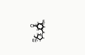 CC[C@]1(C)CCN(Cc2cc(F)cc(Cl)c2)C1